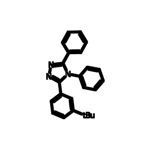 CC(C)(C)c1cccc(-c2nnc(-c3ccccc3)n2-c2ccccc2)c1